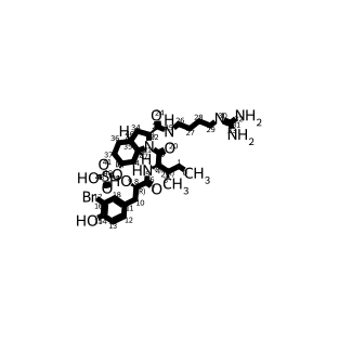 CC[C@@H](C)[C@@H](NC(=O)[C@H](O)Cc1ccc(O)c(Br)c1)C(=O)N1[C@H](C(=O)NCCCCN=C(N)N)C[C@@H]2CC[C@@H](OS(=O)(=O)O)C[C@@H]21